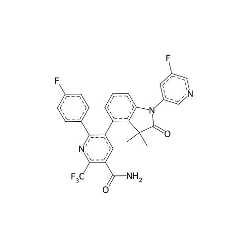 CC1(C)C(=O)N(c2cncc(F)c2)c2cccc(-c3cc(C(N)=O)c(C(F)(F)F)nc3-c3ccc(F)cc3)c21